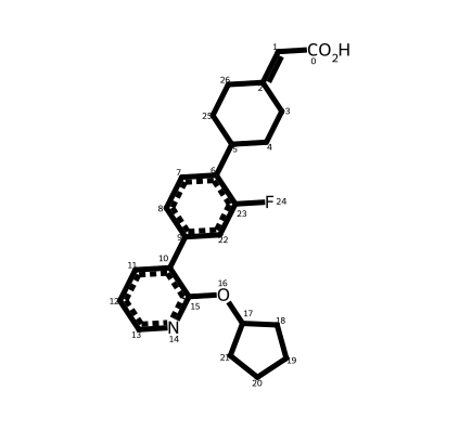 O=C(O)C=C1CCC(c2ccc(-c3cccnc3OC3CCCC3)cc2F)CC1